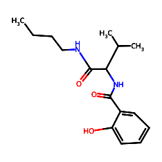 CCCCNC(=O)C(NC(=O)c1ccccc1O)C(C)C